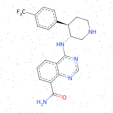 NC(=O)c1cccc2c(N[C@H]3CNCC[C@@H]3c3ccc(C(F)(F)F)cc3)ncnc12